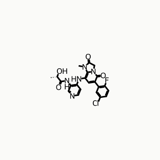 C[C@H](O)C(=O)Nc1cnccc1Nc1cc(-c2cc(Cl)ccc2F)c(=O)n2c1N(C)C(=O)C2